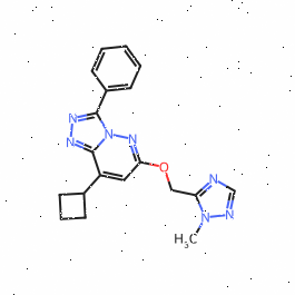 Cn1ncnc1COc1cc(C2CCC2)c2nnc(-c3ccccc3)n2n1